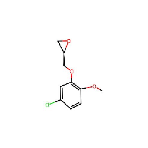 COc1ccc(Cl)cc1OC[C@H]1CO1